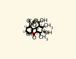 CC1=C(C(=O)O)C(O)(c2ccccc2[N+](=O)[O-])C(C(=O)O)=C(C)N1O